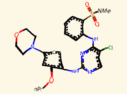 CCCOc1cc(N2CCOCC2)ccc1Nc1ncc(Cl)c(Nc2ccccc2S(=O)(=O)NC)n1